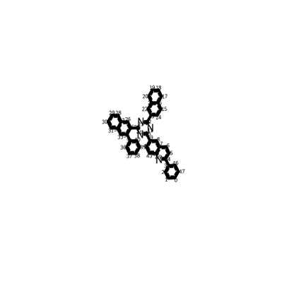 c1ccc(-c2ccc3cc(-c4nc(-c5ccc6ccccc6c5)nc(-c5cc6ccccc6cc5-c5ccccc5)n4)ccc3n2)cc1